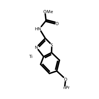 CCCOc1ccc2nc(NC(=O)OC)sc2c1.[Ti]